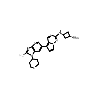 CN[C@H]1C[C@@H](Nc2ncc3c(-c4cnc5nc(C)n(C6CCOCC6)c5c4)ccn3n2)C1